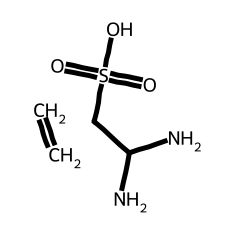 C=C.NC(N)CS(=O)(=O)O